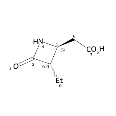 CC[C@@H]1C(=O)N[C@H]1CC(=O)O